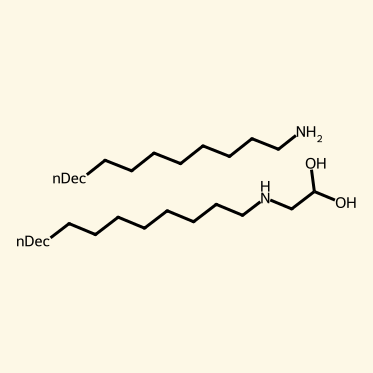 CCCCCCCCCCCCCCCCCCN.CCCCCCCCCCCCCCCCCCNCC(O)O